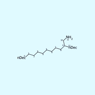 CCCCCCCCCCCCCCCCCCC(CN)CCCCCCCCCC